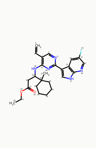 C=Cc1cnc(-c2c[nH]c3ncc(F)cc23)nc1NC(CC(=O)OCC)C1(C)CCCCC1